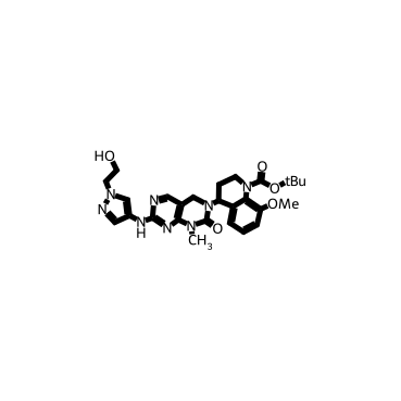 COc1cccc2c1N(C(=O)OC(C)(C)C)CCC2N1Cc2cnc(Nc3cnn(CCO)c3)nc2N(C)C1=O